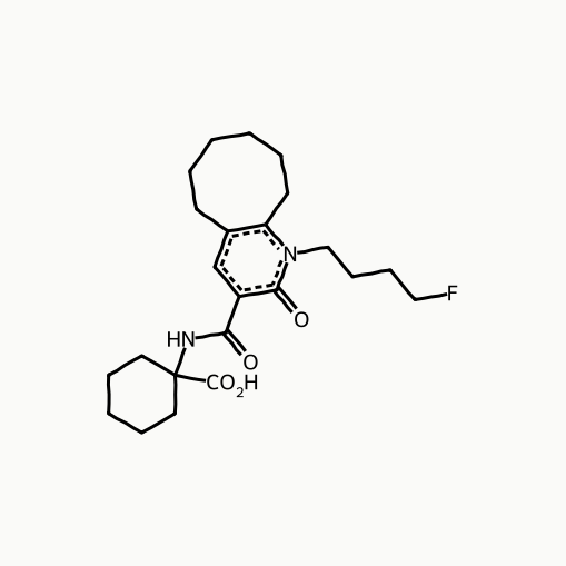 O=C(NC1(C(=O)O)CCCCC1)c1cc2c(n(CCCCF)c1=O)CCCCCC2